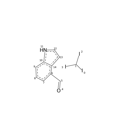 IC(I)I.O=Cc1cccc2[nH]ccc12